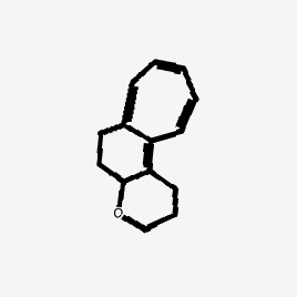 C1=CC=C2CCC3OCCCC3=C2C=C1